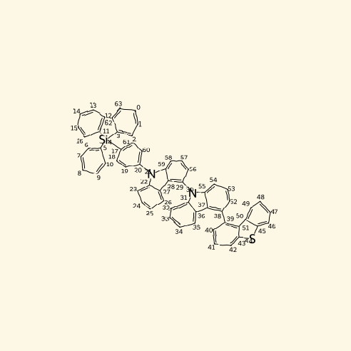 c1ccc([Si](c2ccccc2)(c2ccccc2)c2ccc(-n3c4ccccc4c4c(-n5c6ccccc6c6c(-c7cccc8sc9ccccc9c78)cccc65)cccc43)cc2)cc1